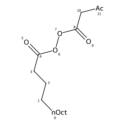 CCCCCCCCCCCC(=O)OOC(=O)CC(C)=O